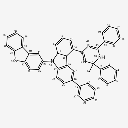 CC1(c2ccccc2)N=C(C2=CC=CC3C2c2cc(-c4ccccc4)ccc2N3c2ccc3sc4ccccc4c3c2)N=C(c2ccccc2)N1